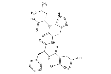 CC(C)=C(CC(=O)O)C(=O)N[C@@H](Cc1ccccc1)C(=O)N[C@@H](Cc1c[nH]cn1)C(=O)N[C@@H](CC(C)C)C(=O)O